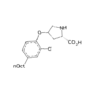 CCCCCCCCc1ccc(OC2CN[C@H](C(=O)O)C2)c(Cl)c1